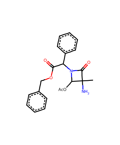 CC(=O)OC1N(C(C(=O)OCc2ccccc2)c2ccccc2)C(=O)C1(C)N